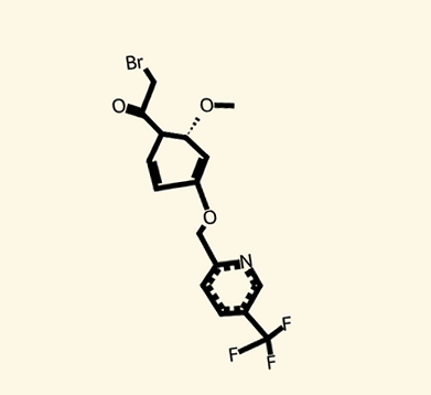 CO[C@@H]1C=C(OCc2ccc(C(F)(F)F)cn2)C=CC1C(=O)CBr